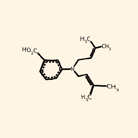 CC(C)=CCN(CC=C(C)C)c1cccc(C(=O)O)c1